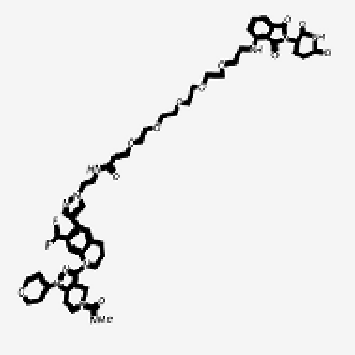 CNC(=O)N1CCc2c(c(N3CCCc4cc(-c5cnn(CCNC(=O)CCOCCOCCOCCOCCOCCNc6cccc7c6C(=O)N(C6CCC(=O)NC6=O)C7=O)c5)c(C(F)F)cc43)nn2C2CCOCC2)C1